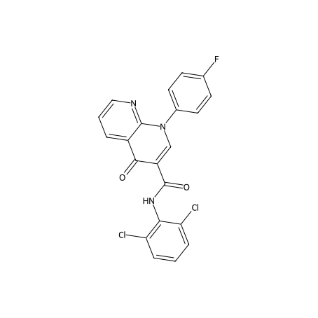 O=C(Nc1c(Cl)cccc1Cl)c1cn(-c2ccc(F)cc2)c2ncccc2c1=O